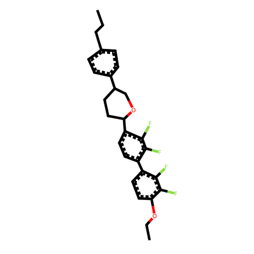 CCCc1ccc(C2CCC(c3ccc(-c4ccc(OCC)c(F)c4F)c(F)c3F)OC2)cc1